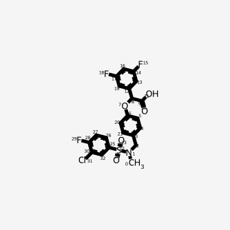 CN(Cc1ccc(OC(C(=O)O)c2cc(F)cc(F)c2)cc1)S(=O)(=O)c1ccc(F)c(Cl)c1